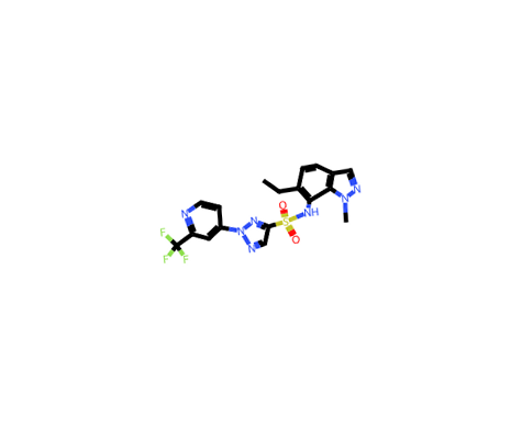 CCc1ccc2cnn(C)c2c1NS(=O)(=O)c1cnn(-c2ccnc(C(F)(F)F)c2)n1